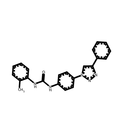 Cc1ccccc1NC(=O)Nc1ccc(-n2cc(-c3ccccc3)nn2)cc1